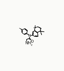 Cc1ccc(N(C(=O)CN)c2ccc3c(c2)C(C)(C)CCC3(C)C)cc1